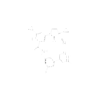 CN/C=C(\CN)c1cc(F)cc(CNC(=O)C2C=C(N3CC[C@@](C#N)(C4CC4)C3=O)C=C(C3CC3)N2)c1